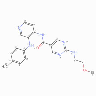 CCOCCNc1ncc(C(=O)Nc2ccncc2Nc2ccc(C)cc2)cn1